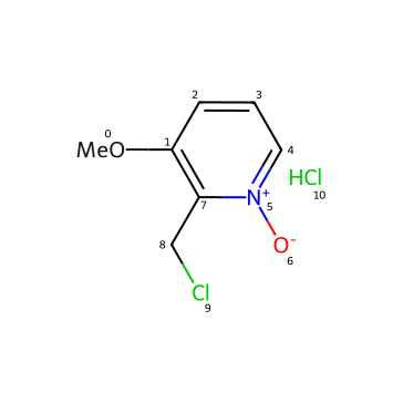 COc1ccc[n+]([O-])c1CCl.Cl